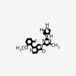 COc1cccc(F)c1-c1nccc2c1CN(c1cc(C)nc(N3C[C@H]4C[C@@H]3CN4)n1)C2=O